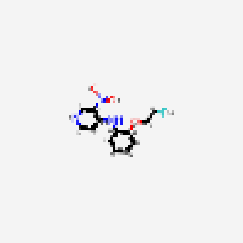 O=[N+]([O-])c1cnccc1Nc1ccccc1OCCF